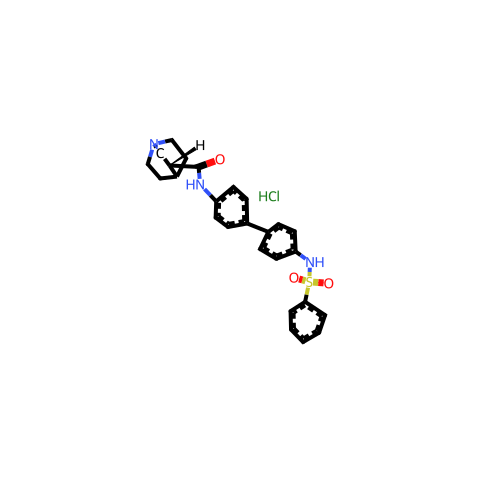 Cl.O=C(Nc1ccc(-c2ccc(NS(=O)(=O)c3ccccc3)cc2)cc1)[C@H]1CN2CCC1CC2